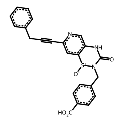 O=C(O)c1ccc(CN2C(=O)Nc3cnc(C#CCc4ccccc4)cc3[S+]2[O-])cc1